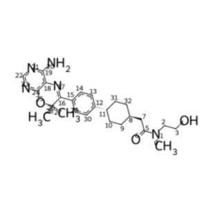 CN(CCO)C(=O)C[C@H]1CC[C@H](c2ccc(C3=Nc4c(N)ncnc4OC3(C)C)cc2)CC1